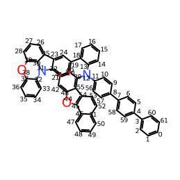 c1ccc(-c2ccc(-c3ccc(N(c4ccccc4-c4ccc5c(c4)c4cccc6c4n5-c4ccccc4O6)c4cccc5oc6c7ccccc7ccc6c45)cc3)cc2)cc1